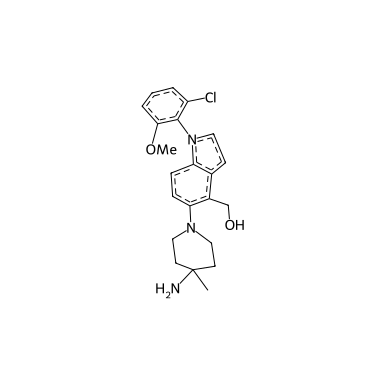 COc1cccc(Cl)c1-n1ccc2c(CO)c(N3CCC(C)(N)CC3)ccc21